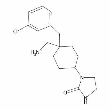 NCC1(Cc2cccc(Cl)c2)CCC(N2CCNC2=O)CC1